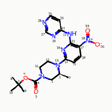 C[C@H]1CN(C(=O)OC(C)(C)C)CCN1c1ccc([N+](=O)[O-])c(Nc2ccncn2)n1